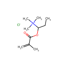 C=C(C)C(=O)OC(CC)[N+](C)(C)C.[Cl-]